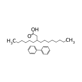 CCCCCCCCC(CCCCCC)CC(=O)O.c1ccc(-c2ccccc2)cc1